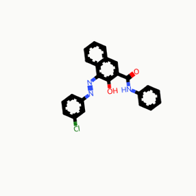 O=C(Nc1ccccc1)c1cc2ccccc2c(N=Nc2cccc(Cl)c2)c1O